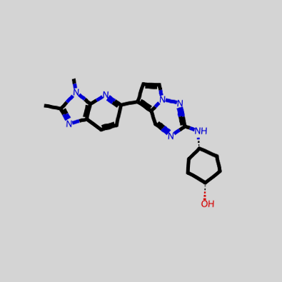 Cc1nc2ccc(-c3ccn4nc(N[C@H]5CC[C@@H](O)CC5)ncc34)nc2n1C